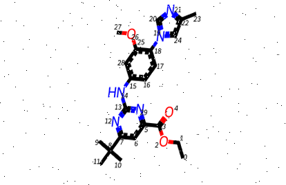 CCOC(=O)c1cc(C(C)(C)C)nc(Nc2ccc(-n3cnc(C)c3)c(OC)c2)n1